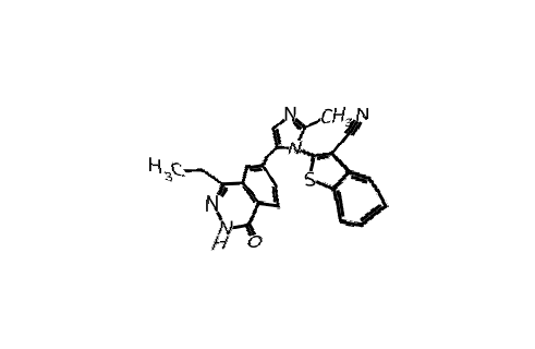 CCc1n[nH]c(=O)c2ccc(-c3cnc(C)n3-c3sc4ccccc4c3C#N)cc12